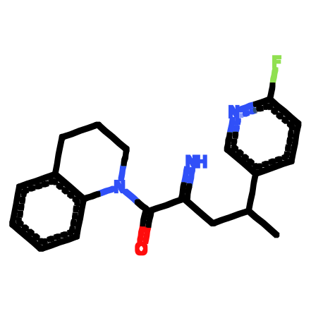 CC(CC(=N)C(=O)N1CCCc2ccccc21)c1ccc(F)nc1